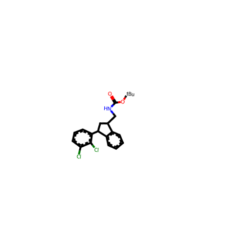 CC(C)(C)OC(=O)NCC1CC(c2cccc(Cl)c2Cl)c2ccccc21